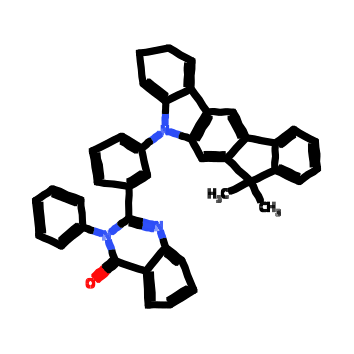 CC1(C)c2ccccc2-c2cc3c4c(n(-c5cccc(-c6nc7ccccc7c(=O)n6-c6ccccc6)c5)c3cc21)=CCCC=4